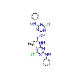 CC(CNc1nc(Cl)nc(Nc2ccccc2)n1)Nc1nc(Cl)nc(Nc2ccccc2)n1